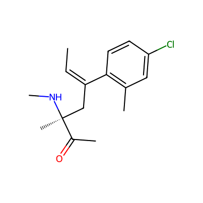 C/C=C(/C[C@](C)(NC)C(C)=O)c1ccc(Cl)cc1C